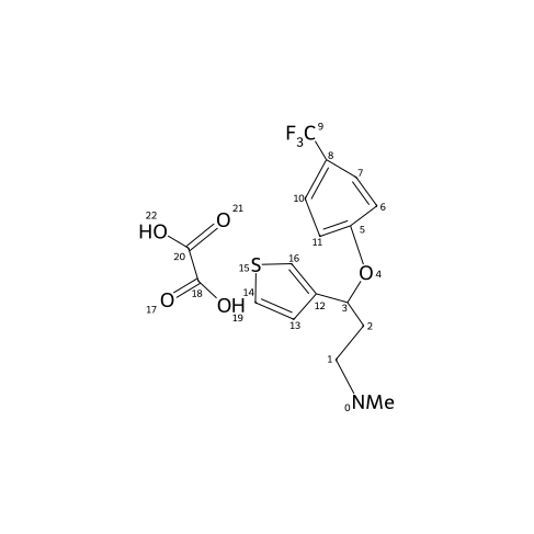 CNCCC(Oc1ccc(C(F)(F)F)cc1)c1ccsc1.O=C(O)C(=O)O